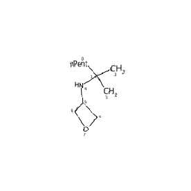 CCCCCC(C)(C)NC1COC1